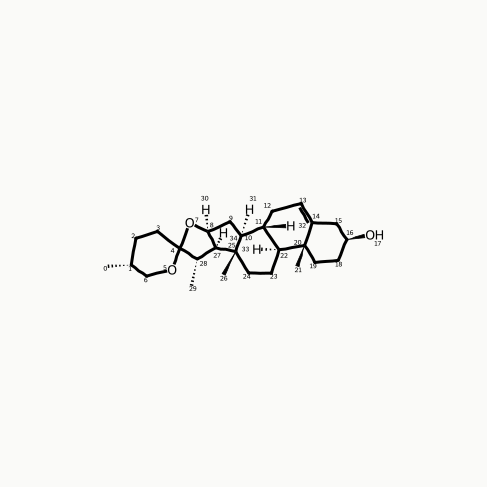 C[C@@H]1CCC2(OC1)O[C@H]1C[C@H]3[C@@H]4CC=C5C[C@@H](O)CC[C@]5(C)[C@H]4CC[C@]3(C)[C@H]1[C@@H]2C